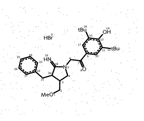 Br.COCC1CN(CC(=O)c2cc(C(C)(C)C)c(O)c(C(C)(C)C)c2)C(=N)C1Cc1ccccc1